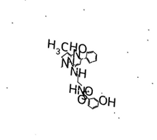 Cc1cnn2c(NCCCNS(=O)(=O)c3cccc(O)c3)cc(-c3ccccc3O)nc12